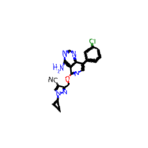 N#Cc1cn(C2CC2)nc1COc1ncc(-c2cccc(Cl)c2)c2ncnc(N)c12